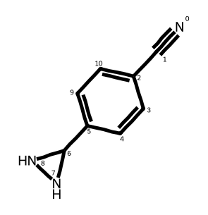 N#Cc1ccc(C2NN2)cc1